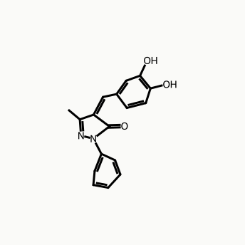 CC1=NN(c2ccccc2)C(=O)C1=Cc1ccc(O)c(O)c1